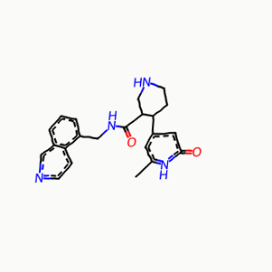 Cc1cc(C2CCNCC2C(=O)NCc2cccc3cnccc23)cc(=O)[nH]1